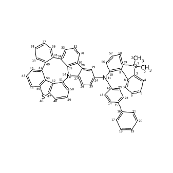 C[Si]1(C)c2ccccc2-c2c(N(c3ccc(-c4ccccc4)cc3)c3ccc4c(c3)c3cccc5c6ccccc6c6cccc7sc8cccc(c8c76)n4c53)cccc21